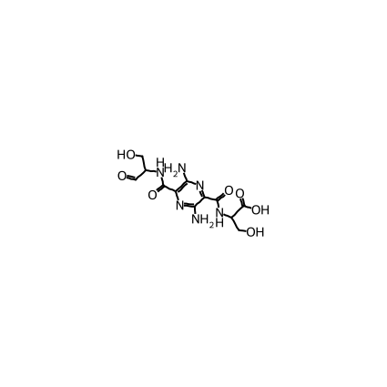 Nc1nc(C(=O)NC(CO)C(=O)O)c(N)nc1C(=O)NC(C=O)CO